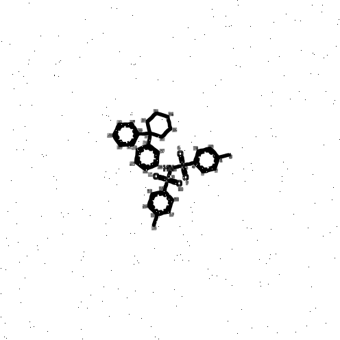 Cc1ccc(S(=O)(=O)NS(=O)(=O)c2ccc(C)cc2)cc1.c1ccc(C2(c3ccccc3)CCCCC2)cc1